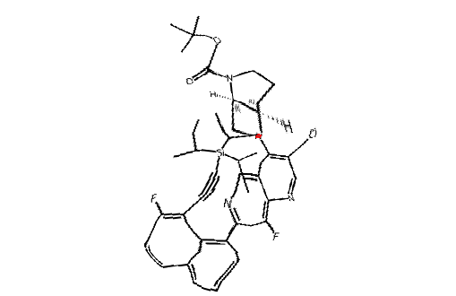 CC(C)[Si](C#Cc1c(F)ccc2cccc(-c3ncc4c(N5C[C@@H]6[C@H]5CCN6C(=O)OC(C)(C)C)c(Cl)cnc4c3F)c12)(C(C)C)C(C)C